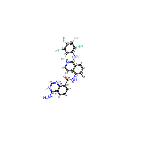 Cc1ccc2c(Nc3c(F)c(F)c(F)c(F)c3F)nccc2c1NC(=O)c1cccc2c(N)ncnc12